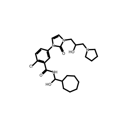 O=C(NC(O)C1CCCCCC1)c1cc(-n2ccn(CC(O)CN3CCCC3)c2=O)ccc1Cl